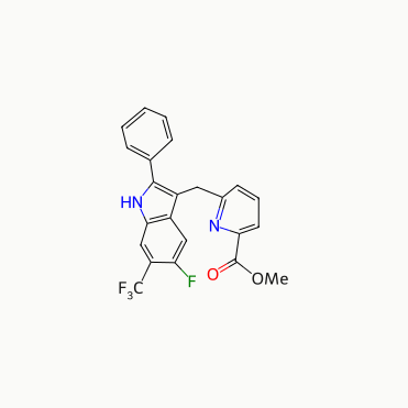 COC(=O)c1cccc(Cc2c(-c3ccccc3)[nH]c3cc(C(F)(F)F)c(F)cc23)n1